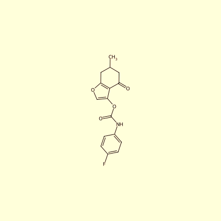 CC1CC(=O)c2c(OC(=O)Nc3ccc(F)cc3)coc2C1